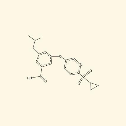 CC(C)Cc1cc(Oc2ccc(S(=O)(=O)C3CC3)nc2)cc(C(=O)O)c1